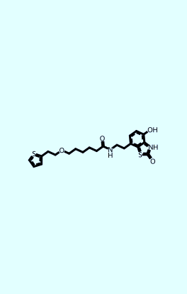 O=C(CCCCCOCCc1cccs1)NCCc1ccc(O)c2[nH]c(=O)sc12